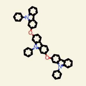 c1ccc(-n2c3ccccc3c3ccc(Oc4ccc5c6ccc(Oc7ccc8c9ccccc9n(-c9ccccc9)c8c7)cc6n(-c6ccccc6)c5c4)cc32)cc1